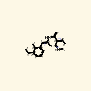 C=C(N/C(C)=C/c1cccc(CC)c1C)C(/C=N\C)=C/C